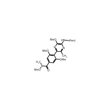 CCCCCNc1nc(C)c(-c2c(OC)cc(C(=O)N(C)OC)cc2OC)nc1OC